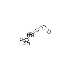 Oc1c(Cl)cc(-c2cnc(OCc3ccc(CN4CCC(Cc5ccccc5)CC4)cc3)nn2)cc1Cl